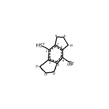 Sc1c2c(c(Br)c3c1CCC3)CCC2